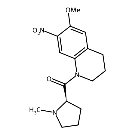 COc1cc2c(cc1[N+](=O)[O-])N(C(=O)[C@H]1CCCN1C)CCC2